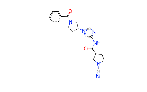 N#CN1CC[C@H](C(=O)Nc2cn(C3CCN(C(=O)c4ccccc4)C3)cn2)C1